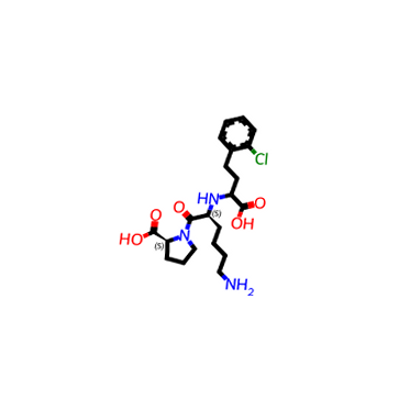 NCCCC[C@H](NC(CCc1ccccc1Cl)C(=O)O)C(=O)N1CCC[C@H]1C(=O)O